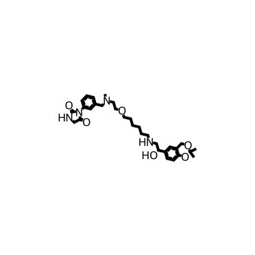 CN(CCOCCCCCCNC[C@H](O)c1ccc2c(c1)COC(C)(C)O2)Cc1cccc(N2C(=O)CNC2=O)c1